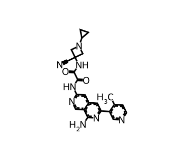 Cc1ccncc1-c1cc2cc(NC(=O)C(=O)NC3(C#N)CN(C4CC4)C3)ncc2c(N)n1